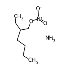 CCCCC(CC)CO[N+](=O)[O-].N